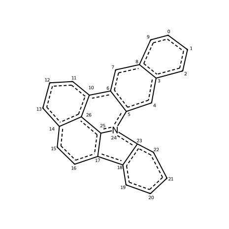 c1ccc2cc3c(cc2c1)c1cccc2ccc4c5ccccc5n3c4c21